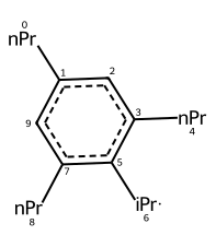 CCCc1cc(CCC)c([C](C)C)c(CCC)c1